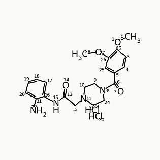 COc1ccc(C(=O)N2CCN(CC(=O)Nc3ccccc3N)CC2)cc1OC.Cl.Cl